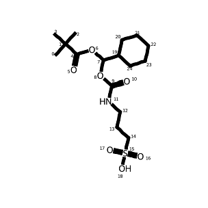 CC(C)(C)C(=O)OC(OC(=O)NCCCS(=O)(=O)O)C1CCCCC1